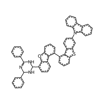 c1ccc(C2=NC(c3ccccc3)NC(c3cccc4c3oc3cccc(-c5cccc6sc7cc(-n8c9ccccc9c9ccccc98)ccc7c56)c34)N2)cc1